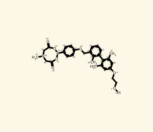 CCOCCOc1cc(C)c(-c2cccc(COc3ccc(B4OC(=O)CN(C)CC(=O)O4)cc3)c2C)c(C)c1